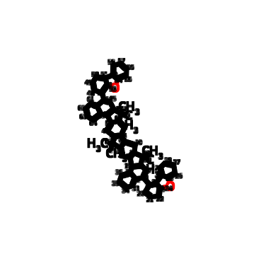 CC1(C)c2cc3c(cc2-c2cc4c(cc21)-c1c(cc(-c2cccc5oc6ccccc6c25)c2ccccc12)C4(C)C)C(C)(C)c1cc(-c2cccc4c2oc2ccccc24)c2ccccc2c1-3